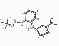 C=C(C)c1cccc([SiH2]c2ccccc2CCOC(C)(C)C)c1